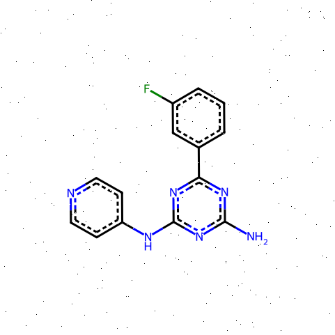 Nc1nc(Nc2ccncc2)nc(-c2cccc(F)c2)n1